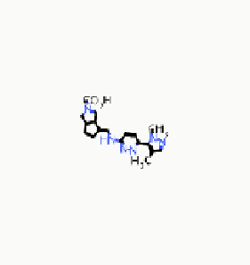 Cc1cnn(C)c1-c1ccc(NCC2CCC3CN(C(=O)O)CC23)nn1